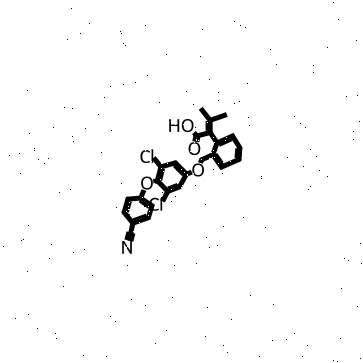 CC(C)=C(C(=O)O)c1ccccc1COc1cc(Cl)c(Oc2ccc(C#N)cc2)c(Cl)c1